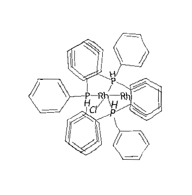 [Cl][Rh]([Rh])([PH](c1ccccc1)(c1ccccc1)c1ccccc1)([PH](c1ccccc1)(c1ccccc1)c1ccccc1)[PH](c1ccccc1)(c1ccccc1)c1ccccc1